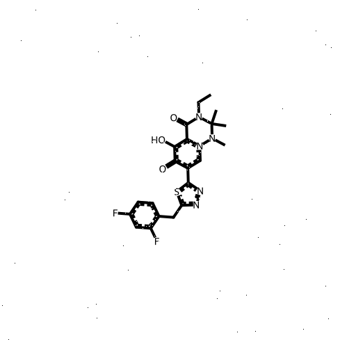 CCN1C(=O)c2c(O)c(=O)c(-c3nnc(Cc4ccc(F)cc4F)s3)cn2N(C)C1(C)C